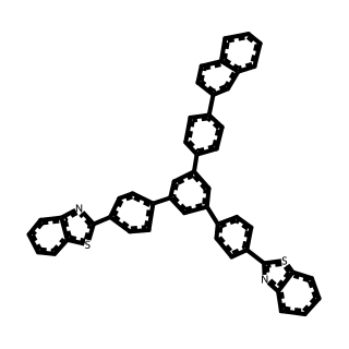 c1ccc2cc(-c3ccc(-c4cc(-c5ccc(-c6nc7ccccc7s6)cc5)cc(-c5ccc(-c6nc7ccccc7s6)cc5)c4)cc3)ccc2c1